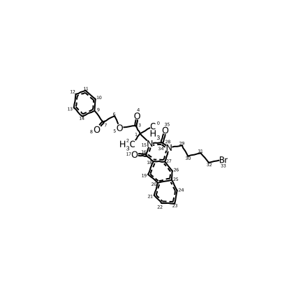 CC(C)(C(=O)OCC(=O)c1ccccc1)n1c(=O)c2cc3ccccc3cc2n(CCCCBr)c1=O